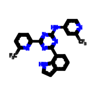 FC(F)(F)c1cc(Nc2nc(-c3cccc(C(F)(F)F)n3)nc(-c3cccc4cc[nH]c34)n2)ccn1